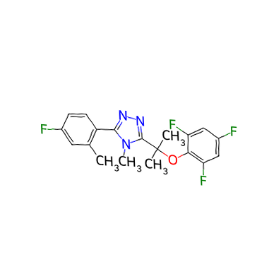 Cc1cc(F)ccc1-c1nnc(C(C)(C)Oc2c(F)cc(F)cc2F)n1C